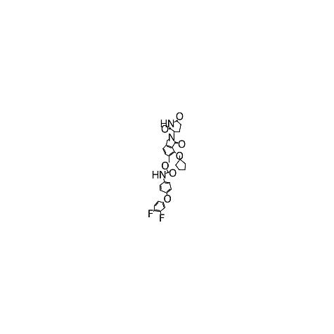 O=C1CCC(N2Cc3ccc(COC(=O)Nc4ccc(Oc5ccc(F)c(F)c5)cc4)c(OC4CCCC4)c3C2=O)C(=O)N1